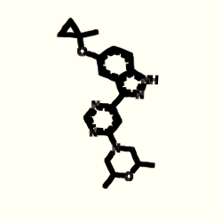 CC1CN(c2cc(-c3n[nH]c4ccc(OC5(C)CC5)cc34)ncn2)CC(C)O1